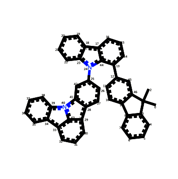 CC1(C)c2ccccc2-c2ccc(-c3cccc4c5ccccc5n(-c5ccc6c7cccc8c9ccccc9n(c6c5)c87)c34)cc21